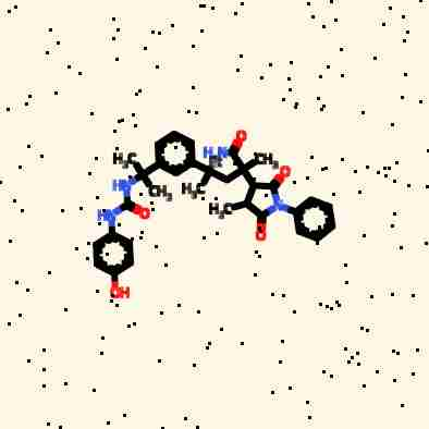 CCC(C)(CC(C)(C(N)=O)C1C(=O)N(c2ccccc2)C(=O)C1C)c1cccc(C(C)(C)NC(=O)Nc2ccc(O)cc2)c1